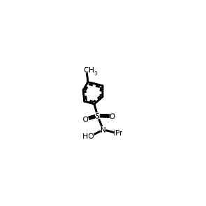 Cc1ccc(S(=O)(=O)N(O)C(C)C)cc1